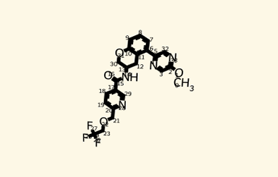 COc1cnc(-c2cccc3c2CC(NC(=O)c2ccc(COCC(F)(F)F)nc2)CO3)cn1